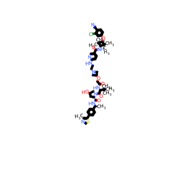 Cc1ncsc1-c1ccc([C@H](C)NC(=O)[C@@H]2C[C@@H](O)CN2C(=O)[C@@H](NC(=O)COC2CN(CCNc3ccc(C(=O)NC4C(C)(C)C(Oc5ccc(C#N)c(Cl)c5)C4(C)C)cn3)C2)C(C)(C)C)cc1